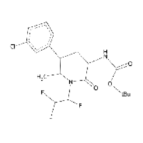 CC1C(c2cccc(Cl)c2)CC(NC(=O)OC(C)(C)C)C(=O)N1C(F)C(F)F